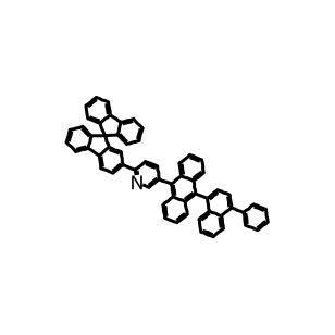 c1ccc(-c2ccc(-c3c4ccccc4c(-c4ccc(-c5ccc6c(c5)C5(c7ccccc7-c7ccccc75)c5ccccc5-6)nc4)c4ccccc34)c3ccccc23)cc1